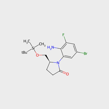 CC(C)(C)[Si](C)(C)OC[C@@H]1CCC(=O)N1c1cc(Br)cc(F)c1N